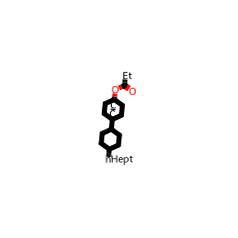 CCCCCCCC1CCC(C23CCC(OC(=O)CC)(CC2)CC3)CC1